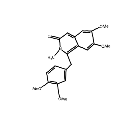 COc1ccc(Cc2c3cc(OC)c(OC)cc3cc(=O)n2C)cc1OC